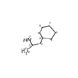 CC([NH])CC1CCCCC1